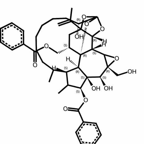 C=C(C)C12C[C@@H](COC(=O)c3ccccc3)[C@@]34OC5(O[C@@H]1[C@@H]3C1O[C@]1(CO)[C@@H](O)[C@@]1(O)[C@H]4[C@@H](C(C)CCCCCC[C@H]5O)C(C)[C@@H]1OC(=O)c1ccccc1)O2